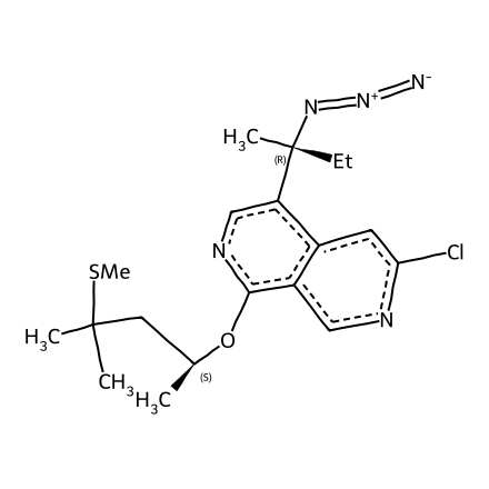 CC[C@@](C)(N=[N+]=[N-])c1cnc(O[C@@H](C)CC(C)(C)SC)c2cnc(Cl)cc12